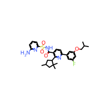 CC(C)COc1cc(F)cc(-c2ccc(C(=O)NS(=O)(=O)c3cccc(N)n3)c(C3CC(C)CC3(C)C)n2)c1